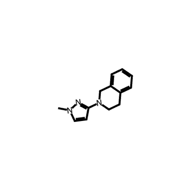 Cn1ccc(N2CCc3ccccc3C2)n1